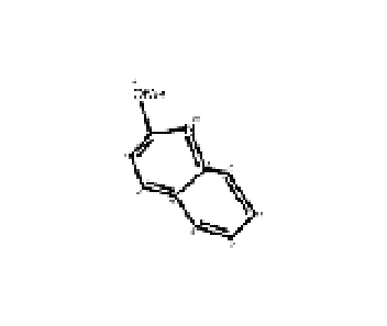 COc1ccc2ccc[c]c2n1